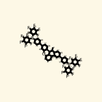 Cc1c2c3c(cccc3c3cc(-c4ccc(B(c5c(F)c(F)c(F)c(F)c5F)c5c(F)c(F)c(F)c(F)c5F)cc4)ccc13)Oc1cc(-c3ccc(B(c4c(F)c(F)c(F)c(F)c4F)c4c(F)c(F)c(F)c(F)c4F)cc3)ccc1-2